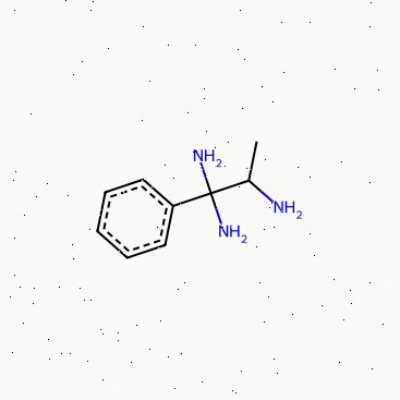 CC(N)C(N)(N)c1ccccc1